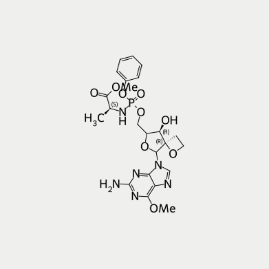 COC(=O)[C@H](C)NP(=O)(OCC1OC(n2cnc3c(OC)nc(N)nc32)[C@@]2(CCO2)[C@@H]1O)Oc1ccccc1